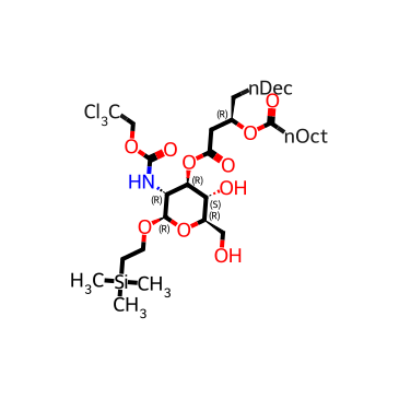 CCCCCCCCCCC[C@H](CC(=O)O[C@H]1[C@H](O)[C@@H](CO)O[C@@H](OCC[Si](C)(C)C)[C@@H]1NC(=O)OCC(Cl)(Cl)Cl)OC(=O)CCCCCCCC